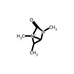 CC1C2N(C)C(=O)[N+]12C